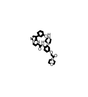 O=C(Nc1ccc(OCC(=O)N2CCOCC2)cc1N1CCNCC1)c1ccn2ncc(-c3cccc(Cl)c3)c2n1